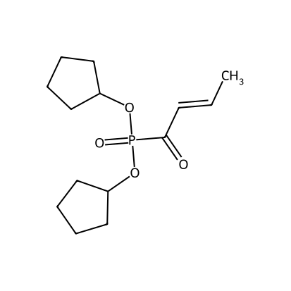 C/C=C/C(=O)P(=O)(OC1CCCC1)OC1CCCC1